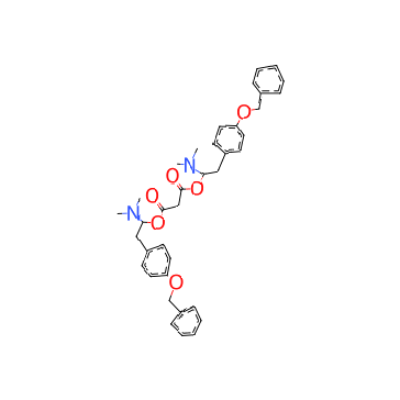 CN(C)C(Cc1ccc(OCc2ccccc2)cc1)OC(=O)CC(=O)OC(Cc1ccc(OCc2ccccc2)cc1)N(C)C